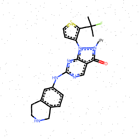 CC(C)n1c(=O)c2cnc(Nc3ccc4c(c3)CCNC4)nc2n1-c1ccsc1C(C)(C)F